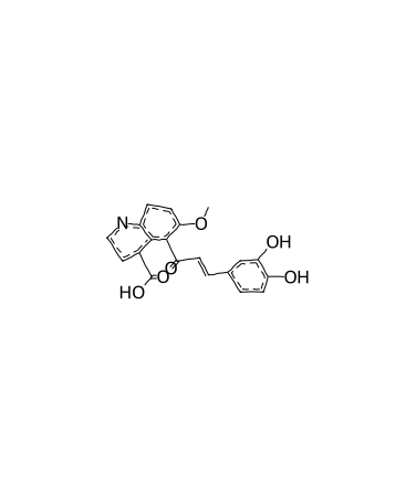 COc1ccc2nccc(C(=O)O)c2c1C(=O)C=Cc1ccc(O)c(O)c1